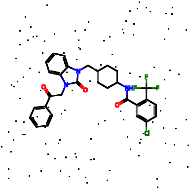 O=C(Cn1c(=O)n(CC2CCC(NC(=O)c3cc(Cl)ccc3C(F)(F)F)CC2)c2ccccc21)c1ccccc1